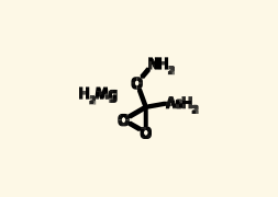 NOC1([AsH2])OO1.[MgH2]